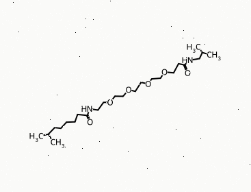 CC(C)CCCCCC(=O)NCCOCCOCCOCCOCCC(=O)NCC(C)C